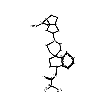 CCOC(=O)N1C2CCC3CC(N4CCC5(CC[C@H](NC(=O)N(C)C)c6ccccc65)CC4)CC321